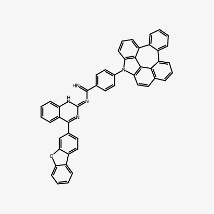 N=C(/N=c1/nc(-c2ccc3c(c2)oc2ccccc23)c2ccccc2[nH]1)c1ccc(-n2c3cccc4c3c3c5c(cccc5ccc32)-c2ccccc2-4)cc1